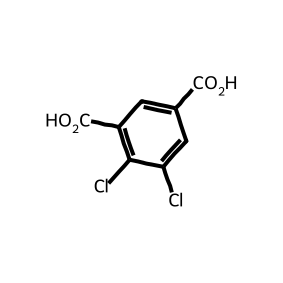 O=C(O)c1cc(Cl)c(Cl)c(C(=O)O)c1